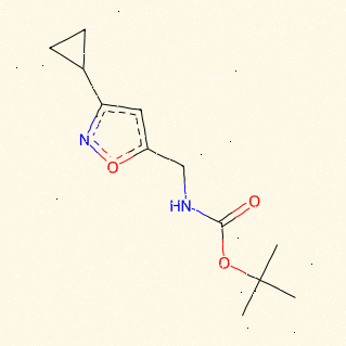 CC(C)(C)OC(=O)NCc1cc(C2CC2)no1